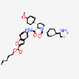 CCCCCOC(=O)c1cc2cc(NC(=O)[C@@H]3[C@H](C4CCC(OC)CC4)CCN3C(=O)[C@H]3CC[C@H]([C@H](N)CF)CC3)ccc2o1